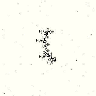 Cn1cc(NC(=O)c2nc(NC(=O)CCNC(=O)c3cc(NC(=O)c4nccn4C)cn3C)cn2C)cc1C(=O)O